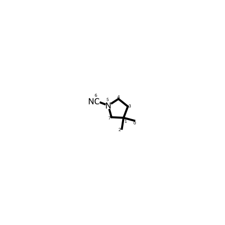 CC1(C)CCN(C#N)C1